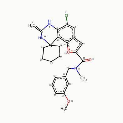 C=C1Nc2c(Cl)cc3cc(C(=O)N(C)Cc4cccc(OC)c4)oc3c2C2(CCCCC2)N1